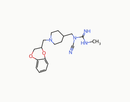 CNC(=N)N(C#N)CC1CCN(CC2COc3ccccc3O2)CC1